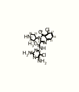 C[C@H](Nc1nc(N)nc(N)c1Cl)c1nc2cccc(Cl)c2c(=O)n1C1CCNCC1